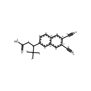 CC(C)(C)C(CC(=O)O)c1ccc2cc(C#N)c(C#N)cc2c1